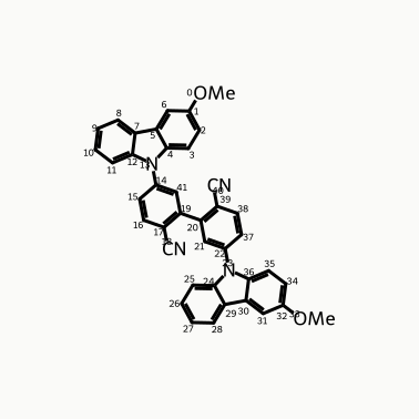 COc1ccc2c(c1)c1ccccc1n2-c1ccc(C#N)c(-c2cc(-n3c4ccccc4c4cc(OC)ccc43)ccc2C#N)c1